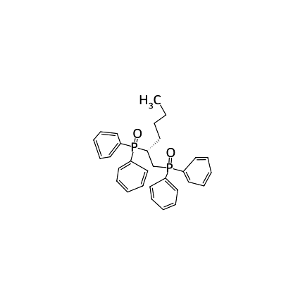 CCCC[C@H](CP(=O)(c1ccccc1)c1ccccc1)P(=O)(c1ccccc1)c1ccccc1